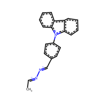 C/C=N/N=C/c1ccc(-n2c3ccccc3c3ccccc32)cc1